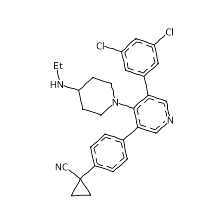 CCNC1CCN(c2c(-c3ccc(C4(C#N)CC4)cc3)cncc2-c2cc(Cl)cc(Cl)c2)CC1